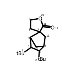 CC(C)(C)C1C2CC(C1C(C)(C)C)C1(CCOC1=O)C2